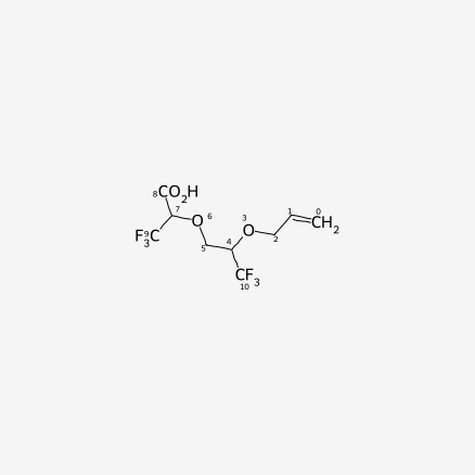 C=CCOC(COC(C(=O)O)C(F)(F)F)C(F)(F)F